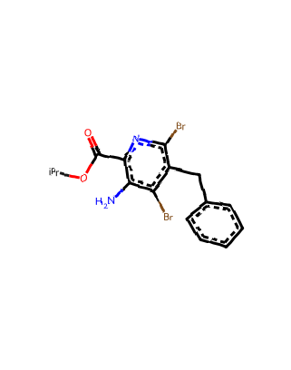 CC(C)OC(=O)c1nc(Br)c(Cc2ccccc2)c(Br)c1N